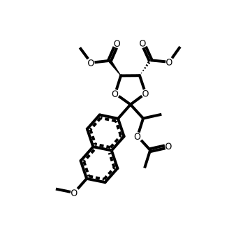 COC(=O)[C@@H]1OC(c2ccc3cc(OC)ccc3c2)(C(C)OC(C)=O)O[C@H]1C(=O)OC